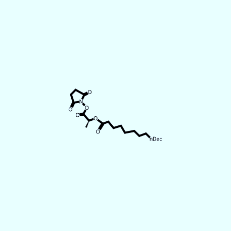 CCCCCCCCCCCCCCCCCC(=O)O[C@@H](C)C(=O)ON1C(=O)CCC1=O